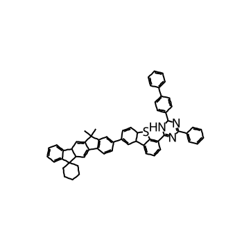 CC1(C)C2=CC3c4ccccc4C4(CCCCC4)C3C=C2c2ccc(C3=CC4c5cccc(C6=NC(c7ccccc7)=NC(c7ccc(-c8ccccc8)cc7)N6)c5SC4C=C3)cc21